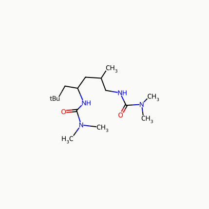 CC(CNC(=O)N(C)C)CC(CC(C)(C)C)NC(=O)N(C)C